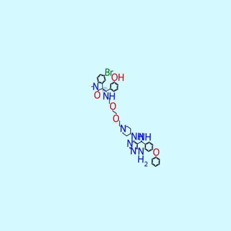 CN1C(=O)/C(=C(\NCCOCCOCCN2CCC(Nc3ncnc(N)c3C(=N)c3ccc(Oc4ccccc4)cc3)CC2)c2cccc(O)c2)c2cc(Br)ccc21